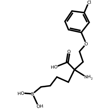 NC(CCCCB(O)O)(CCOc1cccc(Cl)c1)C(=O)O